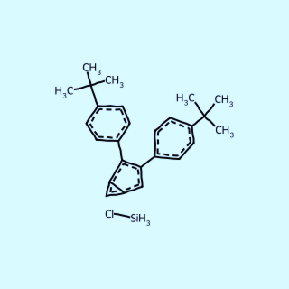 CC(C)(C)c1ccc(-c2cc3cc-3c2-c2ccc(C(C)(C)C)cc2)cc1.[SiH3]Cl